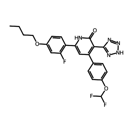 CCCCOc1ccc(-c2cc(-c3ccc(OC(F)F)cc3)c(-c3nn[nH]n3)c(=O)[nH]2)c(F)c1